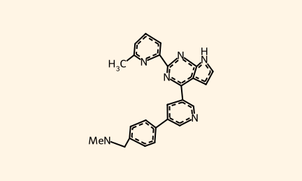 CNCc1ccc(-c2cncc(-c3nc(-c4cccc(C)n4)nc4[nH]ccc34)c2)cc1